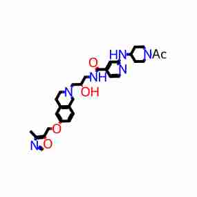 CC(=O)N1CCC(Nc2cc(C(=O)NC[C@H](O)CN3CCc4cc(OCc5ocnc5C)ccc4C3)ccn2)CC1